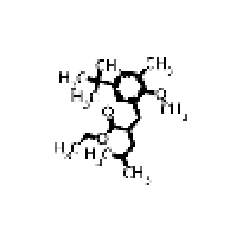 CCOC(=O)C(Cc1cc(C(C)(C)C)cc(C)c1OC)CC(C)C